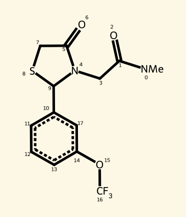 CNC(=O)CN1C(=O)CSC1c1cccc(OC(F)(F)F)c1